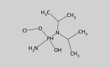 CC(C)N(C(C)C)[PH](N)(O)OCl